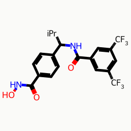 CC(C)C(NC(=O)c1cc(C(F)(F)F)cc(C(F)(F)F)c1)c1ccc(C(=O)NO)cc1